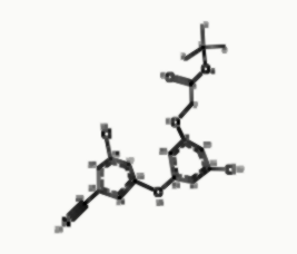 CC(C)(C)OC(=O)COc1cc(Cl)cc(Oc2cc(Cl)cc(C#N)c2)c1